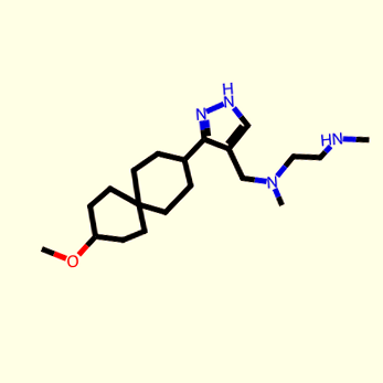 CNCCN(C)Cc1c[nH]nc1C1CCC2(CCC(OC)CC2)CC1